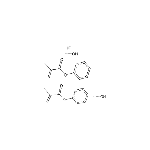 C=C(C)C(=O)Oc1ccccc1.C=C(C)C(=O)Oc1ccccc1.CO.CO.F